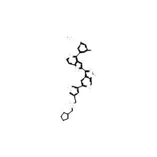 COc1cc(F)cc(-c2nccc3[nH]c(-c4n[nH]c5cnc(-c6cncc(CNCC7CCCC7)c6)cc45)cc23)c1